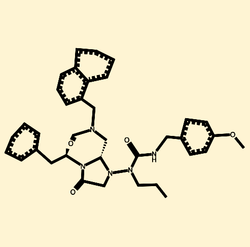 CCCN(C(=O)NCc1ccc(OC)cc1)N1CC(=O)N([C@H](C)Cc2ccccc2)[C@@H]1CN(C=O)Cc1cccc2ccccc12